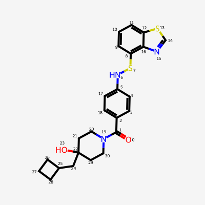 O=C(c1ccc(NSc2cccc3scnc23)cc1)N1CCC(O)(CC2CCC2)CC1